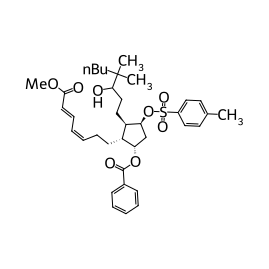 CCCCC(C)(C)C(O)CC[C@@H]1[C@@H](CC/C=C\C=CC(=O)OC)[C@@H](OC(=O)c2ccccc2)C[C@@H]1OS(=O)(=O)c1ccc(C)cc1